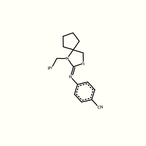 CC(C)CN1C(=Nc2ccc(C#N)cc2)SCC12CCCC2